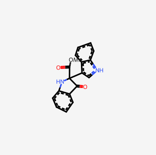 COC(=O)C1(c2c[nH]c3ccccc23)Nc2ccccc2C1=O